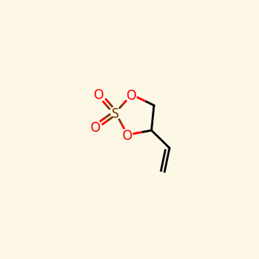 C=CC1COS(=O)(=O)O1